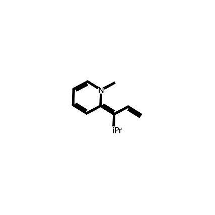 C=C/C(=C1/C=CC=CN1C)C(C)C